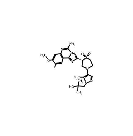 COc1cc2nc(N)n3nc([C@H]4CN(c5cnn(CC(C)(C)O)c5C)CCS4(=O)=O)nc3c2cc1F